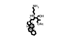 CC(=O)OCC(C)[C@H](CO)C(C[C@@H](C)[C@H]1CC[C@H]2[C@@H]3CCC4CCCC[C@]4(C)[C@H]3CC[C@]12C)NCCCCN